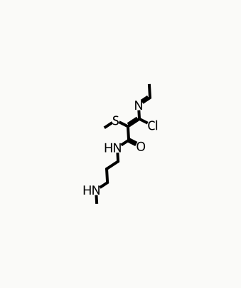 C/C=N/C(Cl)=C(\SC)C(=O)NCCCNC